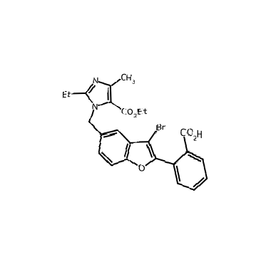 CCOC(=O)c1c(C)nc(CC)n1Cc1ccc2oc(-c3ccccc3C(=O)O)c(Br)c2c1